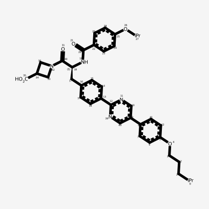 CC(C)CCCOc1ccc(-c2cnc(-c3ccc(C[C@H](NC(=O)c4ccc(OC(C)C)cc4)C(=O)N4CC(C(=O)O)C4)cc3)nc2)cc1